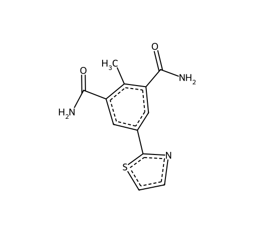 Cc1c(C(N)=O)cc(-c2nccs2)cc1C(N)=O